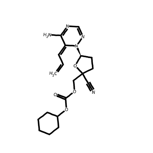 C=C/C=C1/C(N)=NC=NN1[C@H]1CCC(C#N)(COC(=O)OC2CCCCC2)O1